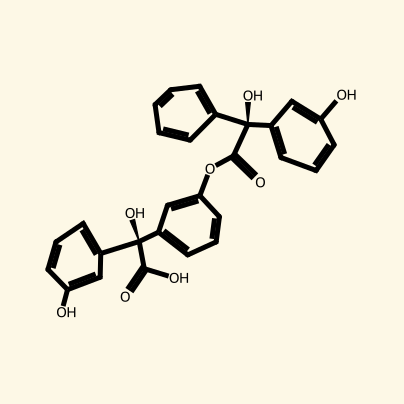 O=C(O)[C@](O)(c1cccc(O)c1)c1cccc(OC(=O)[C@](O)(c2ccccc2)c2cccc(O)c2)c1